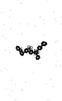 O=S1(=O)c2ccc(-c3cccc4c3sc3ccccc34)cc2-c2ccc(-c3nc(-c4ccccc4)nc(-c4ccc(-c5ccccc5)cc4)n3)cc21